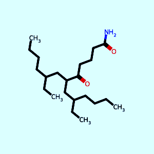 CCCCC(CC)CC(CC(CC)CCCC)C(=O)CCCC(N)=O